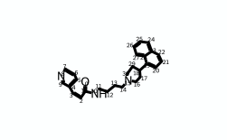 O=C(/C=C\c1cccnc1)NCCCCN1CCC(c2cccc3ccccc23)CC1